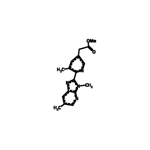 COC(=O)Cc1cnc(-c2nc3cc(C)cnc3n2C)c(C)c1